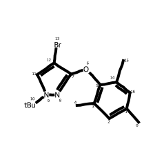 Cc1cc(C)c(Oc2nn(C(C)(C)C)cc2Br)c(C)c1